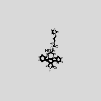 O=C(NCCCn1ccnc1)OCC1(O)Cn2c3ccccc3c3c4c(c5c6ccccc6n(c5c32)C1)C(=O)NC4